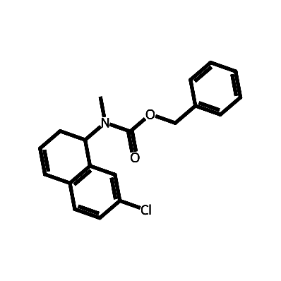 CN(C(=O)OCc1ccccc1)C1CC=Cc2ccc(Cl)cc21